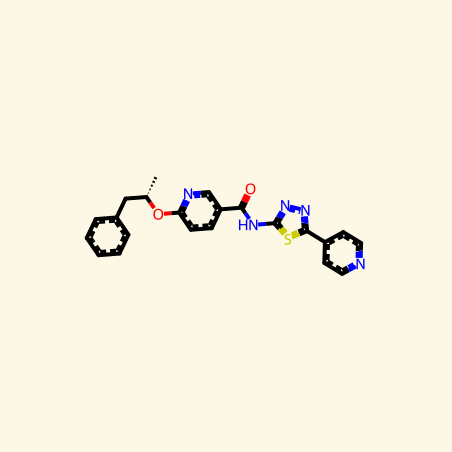 C[C@@H](Cc1ccccc1)Oc1ccc(C(=O)Nc2nnc(-c3ccncc3)s2)cn1